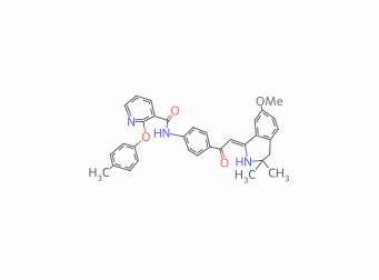 COc1ccc2c(c1)C(=CC(=O)c1ccc(NC(=O)c3cccnc3Oc3ccc(C)cc3)cc1)NC(C)(C)C2